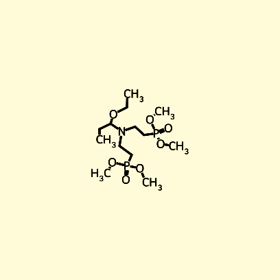 CCOC(CC)N(CCP(=O)(OC)OC)CCP(=O)(OC)OC